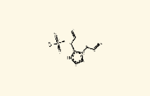 C=CCc1[nH]cc[n+]1CC=C.CS(=O)(=O)[O-]